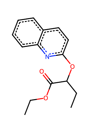 CCOC(=O)C(CC)Oc1ccc2ccccc2n1